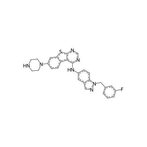 Fc1cccc(Cn2ncc3cc(Nc4ncnc5sc6cc(N7CCNCC7)ccc6c45)ccc32)c1